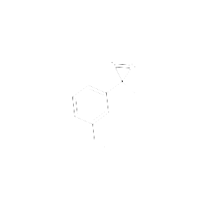 Cc1cccc(C2(F)N=N2)c1